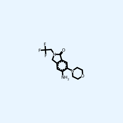 Nc1cc2c(cc1N1CCOCC1)C(=O)N(CC(F)(F)F)C2